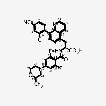 N#Cc1ccc(-c2ccc(C[C@H](NC(=O)c3c(F)cc(N4CCOC(C(F)(F)F)C4)cc3F)C(=O)O)c3cccnc23)c(Cl)c1